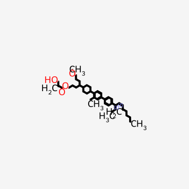 C=C(/C=C\C(=C\CC)c1ccc(-c2ccc(C3CCC(C(CCCOC)CCCOC(=O)C(=C)CO)CC3)c(CC)c2)cc1)CCCCC